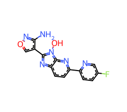 Nc1nocc1-c1nc2ccc(-c3ccc(F)cn3)nc2n1O